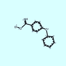 CCOC(=N)c1ccc(Oc2ccccc2)cc1